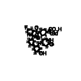 CC(C)(C)N(C(=O)O)[C@H]1CC[C@@H](n2c(=O)c3cc(F)cnc3n(-c3cccc(-c4ccc(O)cc4CN4CCNC(=O)CC4)c3)c2=O)CC1